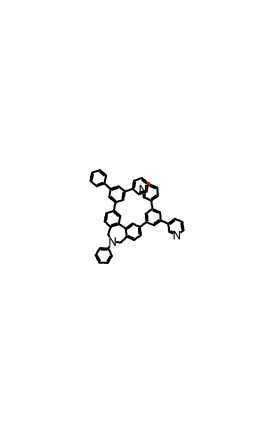 c1ccc(-c2cc(-c3ccccc3)cc(-c3ccc4c(c3)-c3cc(-c5cc(-c6cccnc6)cc(-c6cccnc6)c5)ccc3CN(c3ccccc3)C4)c2)cc1